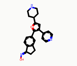 ON=C1CCc2cc(-c3oc(C4CCNCC4)cc3-c3ccncc3)ccc21